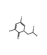 O=c1c(F)cc(I)cn1CC(F)F